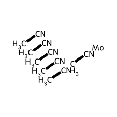 CC#N.CC#N.CC#N.CC#N.CC#N.CC#N.[Mo]